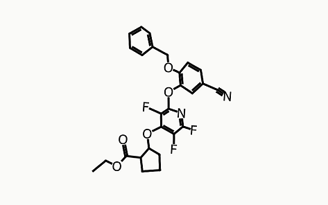 CCOC(=O)C1CCCC1Oc1c(F)c(F)nc(Oc2cc(C#N)ccc2OCc2ccccc2)c1F